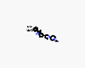 COc1ccc(-c2[nH]c3ccc(C4CCN(C5CCCN(C(C)C)CC5)CC4)cc3c2C)cc1OC